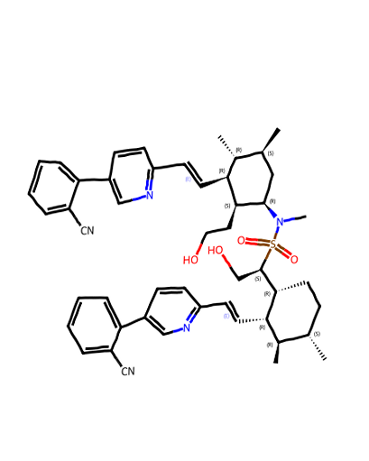 C[C@H]1[C@H](/C=C/c2ccc(-c3ccccc3C#N)cn2)[C@H]([C@@H](CO)S(=O)(=O)N(C)[C@@H]2C[C@H](C)[C@@H](C)[C@H](/C=C/c3ccc(-c4ccccc4C#N)cn3)[C@@H]2CCO)CC[C@@H]1C